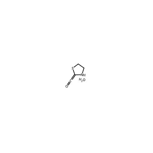 O.O=C=C1NCCS1